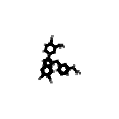 NC1CN(c2nc3cc(F)c(F)cc3n2Cc2cccc(OC(F)(F)F)c2)CCC1F